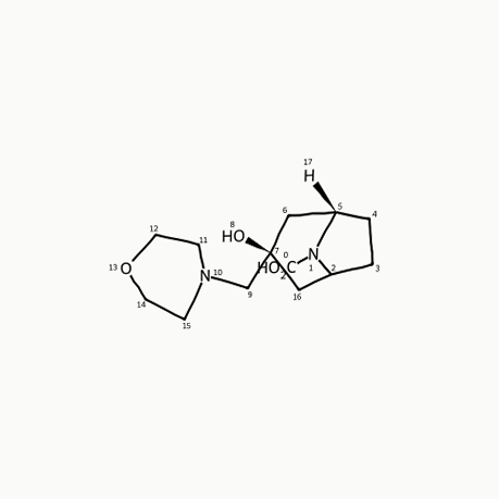 O=C(O)N1C2CC[C@H]1C[C@@](O)(CN1CCOCC1)C2